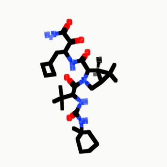 CC1(NC(=O)NC(C(=O)N2CC3[C@@H](C2C(=O)NC(CC2CCC2)C(=O)C(N)=O)C3(C)C)C(C)(C)C)CCCCC1